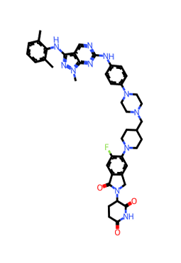 Cc1cccc(C)c1Nc1nn(C)c2nc(Nc3ccc(N4CCN(CC5CCN(c6cc7c(cc6F)C(=O)N(C6CCC(=O)NC6=O)C7)CC5)CC4)cc3)ncc12